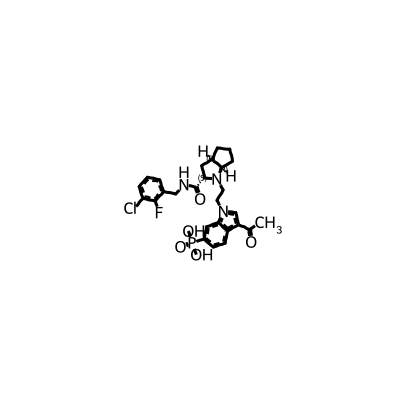 CC(=O)c1cn(CCN2[C@@H]3CCC[C@@H]3C[C@H]2C(=O)NCc2cccc(Cl)c2F)c2cc(P(=O)(O)O)ccc12